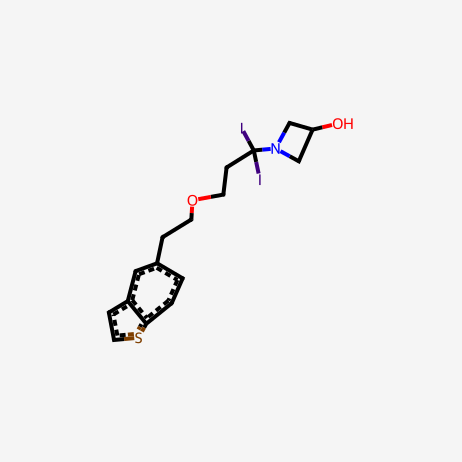 OC1CN(C(I)(I)CCOCCc2ccc3sccc3c2)C1